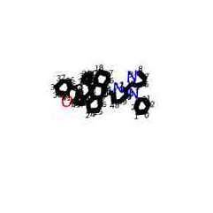 c1ccc(-n2c3cccnc3c3nc(B4c5ccccc5C5(c6ccccc64)c4ccccc4B4c6ccccc6Oc6cccc5c64)ccc32)cc1